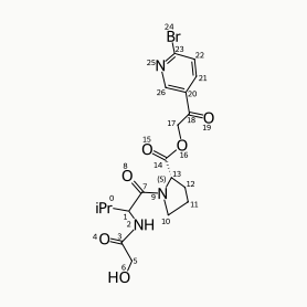 CC(C)C(NC(=O)CO)C(=O)N1CCC[C@H]1C(=O)OCC(=O)c1ccc(Br)nc1